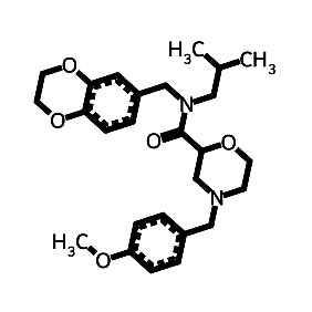 COc1ccc(CN2CCOC(C(=O)N(Cc3ccc4c(c3)OCCO4)CC(C)C)C2)cc1